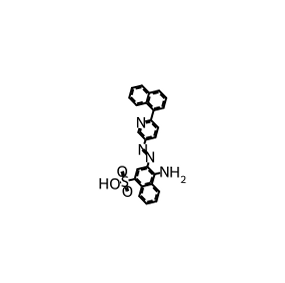 Nc1c(/N=N/c2ccc(-c3cccc4ccccc34)nc2)cc(S(=O)(=O)O)c2ccccc12